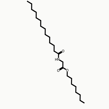 CCCCCCCCCCCCCC(=O)NCC(=O)OCCCCCCCC